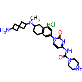 CN(C1CCc2cc(-n3ccc(NC(=O)N4CCNCC4)nc3=O)ccc2C1)C1CC2(CC(N)C2)C1.Cl